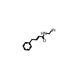 CC(C)CNC(=O)/C=C/Cc1ccccc1